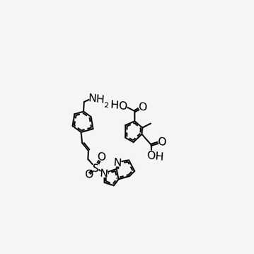 Cc1c(C(=O)O)cccc1C(=O)O.NCc1ccc(C=CCS(=O)(=O)n2ccc3cccnc32)cc1